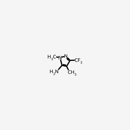 Cc1c(C(F)(F)F)nn(C)c1N